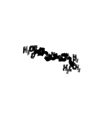 COC(=O)c1ccc(Cn2ccc3cc(N4CCN(CCC(C)(C)C)CC4)cnc32)cc1